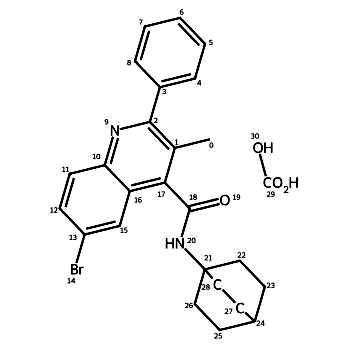 Cc1c(-c2ccccc2)nc2ccc(Br)cc2c1C(=O)NC12CCC(CC1)CC2.O=C(O)O